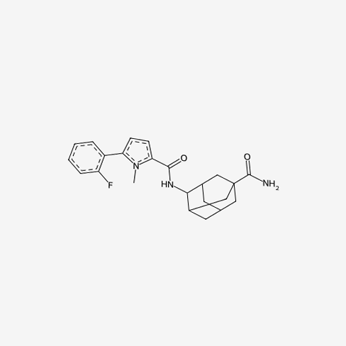 Cn1c(C(=O)NC2C3CC4CC2CC(C(N)=O)(C4)C3)ccc1-c1ccccc1F